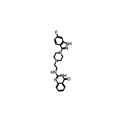 O=c1[nH]c(NCCN2CCN(c3n[nH]c4cc(F)ccc34)CC2)nc2ccccc12